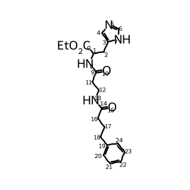 CCOC(=O)C(Cc1cnc[nH]1)NC(=O)CCNC(=O)CCCc1ccccc1